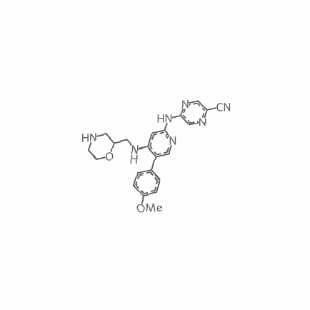 COc1ccc(-c2cnc(Nc3cnc(C#N)cn3)cc2NCC2CNCCO2)cc1